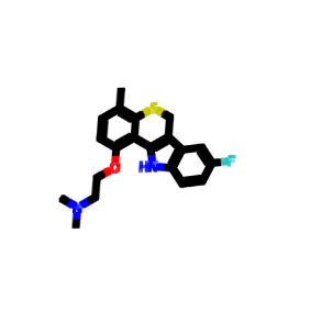 Cc1ccc(OCCN(C)C)c2c1SCc1c-2[nH]c2ccc(F)cc12